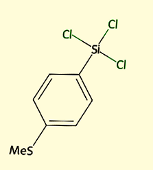 CSc1ccc([Si](Cl)(Cl)Cl)cc1